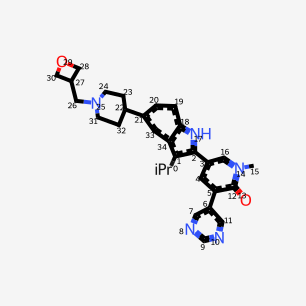 CC(C)c1c(-c2cc(-c3cncnc3)c(=O)n(C)c2)[nH]c2ccc(C3CCN(CC4COC4)CC3)cc12